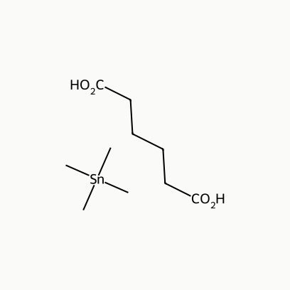 O=C(O)CCCCC(=O)O.[CH3][Sn]([CH3])([CH3])[CH3]